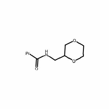 CC(C)C(=O)NCC1COCCO1